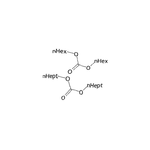 CCCCCCCOC(=O)OCCCCCCC.CCCCCCOC(=O)OCCCCCC